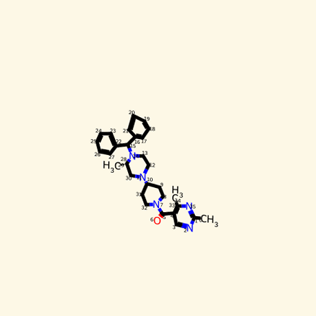 Cc1ncc(C(=O)N2CCC(N3CCN(C(c4ccccc4)c4ccccc4)[C@@H](C)C3)CC2)c(C)n1